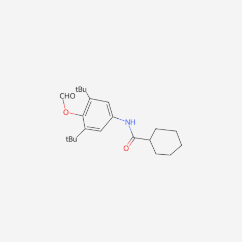 CC(C)(C)c1cc(NC(=O)C2CCCCC2)cc(C(C)(C)C)c1OC=O